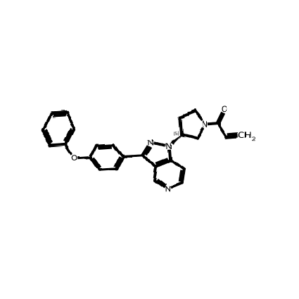 C=CC(=O)N1CC[C@H](n2nc(-c3ccc(Oc4ccccc4)cc3)c3cnccc32)C1